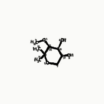 CO[C@H]1[C@@H](O)[C@@H](O)COC1(C)C